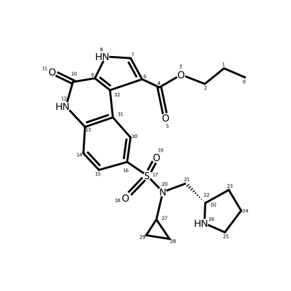 CCCOC(=O)c1c[nH]c2c(=O)[nH]c3ccc(S(=O)(=O)N(C[C@@H]4CCCN4)C4CC4)cc3c12